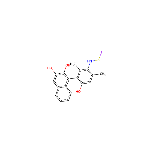 Cc1cc(O)c(-c2c(O)c(O)cc3ccccc23)c(C)c1NSI